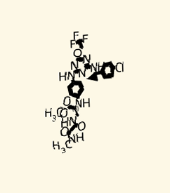 CNC(=O)C(=O)NC[C@H](Nc1ccc(Nc2nc(NC3(c4ccc(Cl)cc4)CC3)nc(OCC(F)(F)F)n2)cc1)C(=O)OC